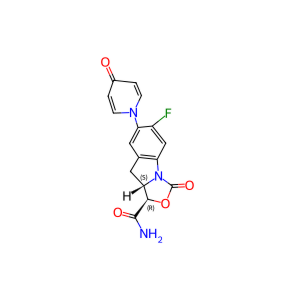 NC(=O)[C@@H]1OC(=O)N2c3cc(F)c(-n4ccc(=O)cc4)cc3C[C@@H]12